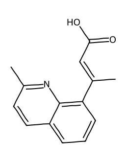 CC(=CC(=O)O)c1cccc2ccc(C)nc12